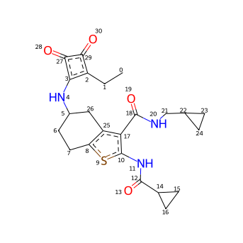 CCc1c(NC2CCc3sc(NC(=O)C4CC4)c(C(=O)NCC4CC4)c3C2)c(=O)c1=O